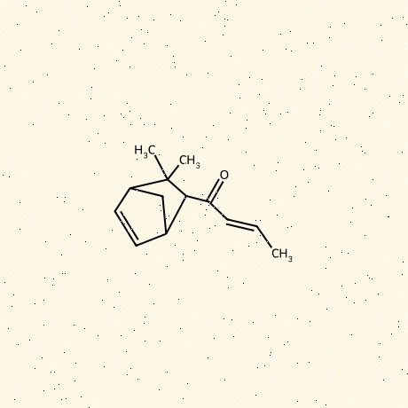 CC=CC(=O)C1C2C=CC(C2)C1(C)C